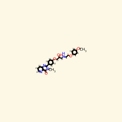 COc1ccc(OCCNCC(O)COc2ccc(-c3nc4cccnc4c(=O)n3C)cc2)cc1